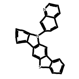 c1cnc2cc(-n3c4ccccc4c4cc5sc6ccccc6c5cc43)ccc2c1